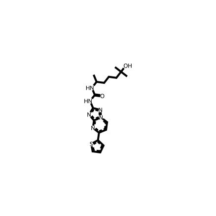 CC(CCCC(C)(C)O)NC(=O)Nc1nc2nc(-c3cccs3)ccn2n1